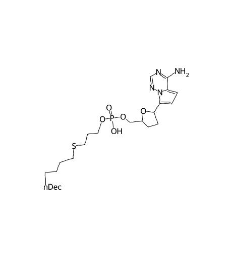 CCCCCCCCCCCCCCSCCCOP(=O)(O)OCC1CCC(c2ccc3c(N)ncnn23)O1